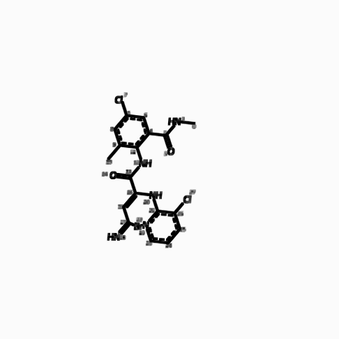 CNC(=O)c1cc(Cl)cc(C)c1NC(=O)/C(=C/C(=N)Br)Nc1ncccc1Cl